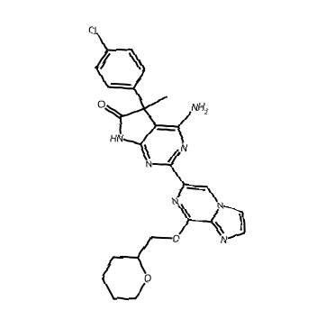 CC1(c2ccc(Cl)cc2)C(=O)Nc2nc(-c3cn4ccnc4c(OCC4CCCCO4)n3)nc(N)c21